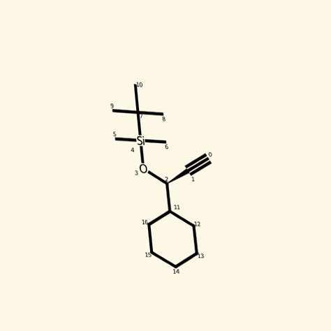 C#C[C@H](O[Si](C)(C)C(C)(C)C)C1CCCCC1